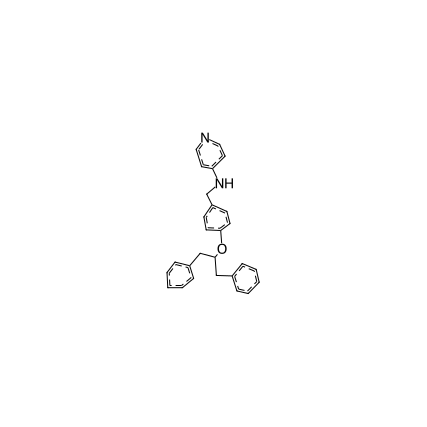 c1ccc(CC(Cc2ccccc2)Oc2ccc(CNc3ccncc3)cc2)cc1